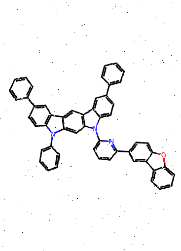 c1ccc(-c2ccc3c(c2)c2cc4c5cc(-c6ccccc6)ccc5n(-c5cccc(-c6ccc7oc8ccccc8c7c6)n5)c4cc2n3-c2ccccc2)cc1